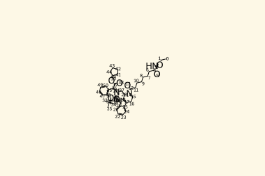 CCONC(=O)CCCCCCC(=O)N1CCc2c([nH]c3ccccc23)C1CN(C(=O)OC(C)(C)C)[C@H](C(=O)OC1CCCC1)c1ccccc1